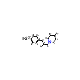 CC1CCN(CC(C)Cc2ccc(C(C)(C)C)cc2)CC1